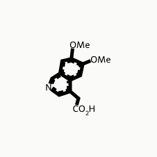 COc1cc2cncc(CC(=O)O)c2cc1OC